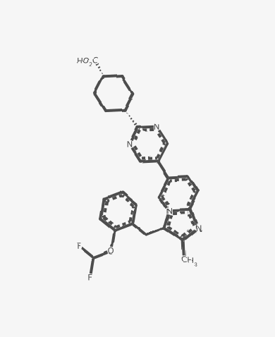 Cc1nc2ccc(-c3cnc([C@H]4CC[C@@H](C(=O)O)CC4)nc3)cn2c1Cc1ccccc1OC(F)F